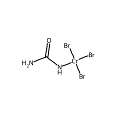 NC(=O)[NH][Cr]([Br])([Br])[Br]